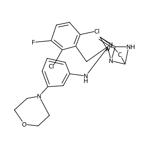 Fc1ccc(Cl)c(CN2CC3Nc4c2cc(Nc2cccc(N5CCOCC5)c2)n43)c1Cl